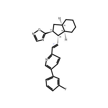 Fc1cccc(-c2ccc(/C=C/[C@H]3[C@@H]4CCCC[C@@H]4C[C@@H]3c3ncno3)nc2)c1